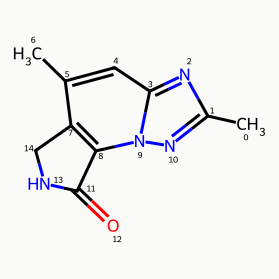 Cc1nc2cc(C)c3c(n2n1)C(=O)NC3